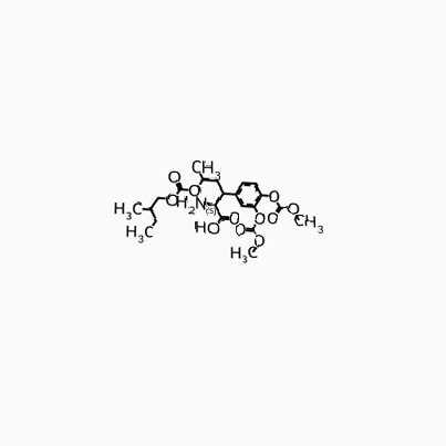 CCC(C)COC(=O)OC(C)CC(c1ccc(OC(=O)OC)c(OC(=O)OC)c1)[C@H](N)C(=O)O